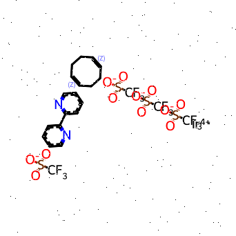 C1=C\CC/C=C\CC/1.O=S(=O)([O-])C(F)(F)F.O=S(=O)([O-])C(F)(F)F.O=S(=O)([O-])C(F)(F)F.O=S(=O)([O-])C(F)(F)F.[Ir+4].c1ccc(-c2ccccn2)nc1